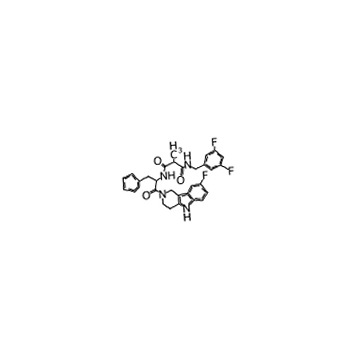 CC(C(=O)NCc1cc(F)cc(F)c1)C(=O)NC(Cc1ccccc1)C(=O)N1CCc2[nH]c3ccc(F)cc3c2C1